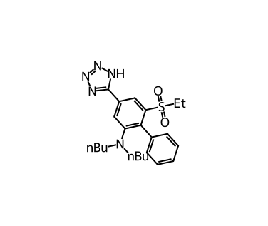 CCCCN(CCCC)c1cc(-c2nnn[nH]2)cc(S(=O)(=O)CC)c1-c1ccccc1